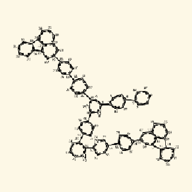 c1ccc(-c2ccc(-c3cc(-c4ccc(-c5ccc(-c6cc7c8c(cccc8c6)-c6ccccc6-7)cc5)cc4)nc(-c4ccc(-c5cccnc5-c5ccc(-c6ccc(-c7cc8c9c(cccc9c7)-c7ccccc7-8)cc6)cn5)cc4)n3)cc2)cc1